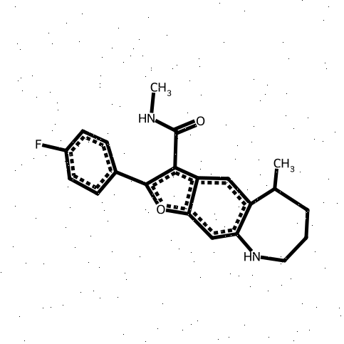 CNC(=O)c1c(-c2ccc(F)cc2)oc2cc3c(cc12)C(C)CCCN3